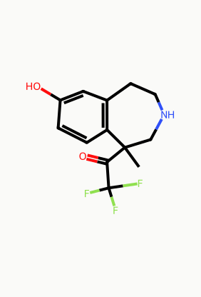 CC1(C(=O)C(F)(F)F)CNCCc2cc(O)ccc21